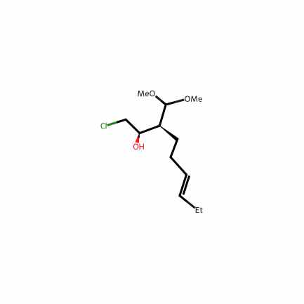 CCC=CCC[C@H](C(OC)OC)[C@@H](O)CCl